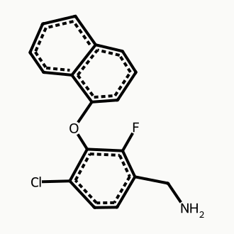 NCc1ccc(Cl)c(Oc2cccc3ccccc23)c1F